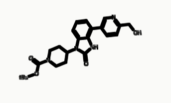 CC(C)(C)OC(=O)N1CCC(n2c(=O)[nH]c3c(-c4ccc(CO)nc4)cccc32)CC1